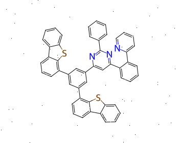 c1ccc(-c2nc(-c3cc(-c4cccc5c4sc4ccccc45)cc(-c4cccc5c4sc4ccccc45)c3)cc(-c3ccccc3-c3ccccn3)n2)cc1